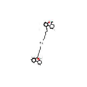 C=C(C)C1CCC(C)=CC1c1c(O)cc(O)cc1C(C)(C)CCCCCCO[N+](=O)OCCCCCCC(C)(C)c1cc(O)cc(O)c1C1C=C(C)CCC1C(=C)C